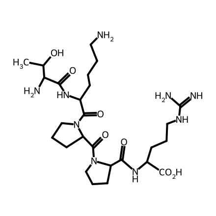 CC(O)C(N)C(=O)NC(CCCCN)C(=O)N1CCCC1C(=O)N1CCCC1C(=O)NC(CCCNC(=N)N)C(=O)O